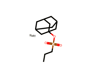 CCCS(=O)(=O)OC12CC3CC(CC(C3)C1)C2.[NaH]